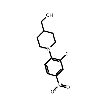 O=[N+]([O-])c1ccc(N2CCC(CO)CC2)c(Cl)c1